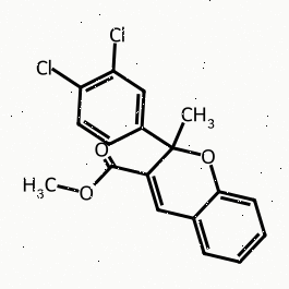 COC(=O)C1=Cc2ccccc2OC1(C)c1ccc(Cl)c(Cl)c1